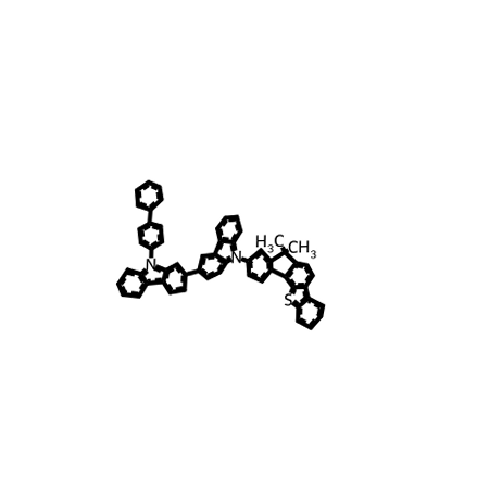 CC1(C)c2cc(-n3c4ccccc4c4cc(-c5ccc6c7ccccc7n(-c7ccc(-c8ccccc8)cc7)c6c5)ccc43)ccc2-c2c1ccc1c2sc2ccccc21